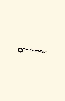 [O]CCCCCCCCCCCCC1CCCCC1